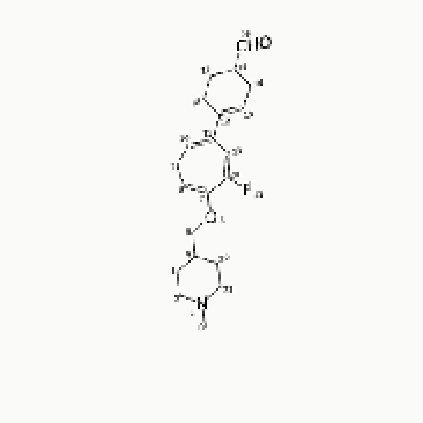 CN1CCC(COC2=CCC=C(C3=CCC(C=O)CC3)C=C2F)CC1